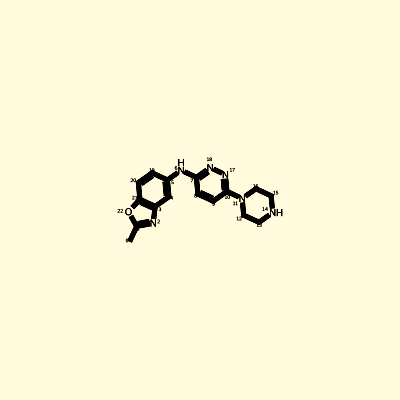 Cc1nc2cc(Nc3ccc(N4CCNCC4)nn3)ccc2o1